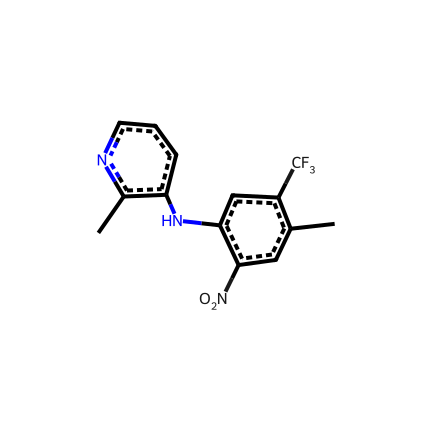 Cc1cc([N+](=O)[O-])c(Nc2cccnc2C)cc1C(F)(F)F